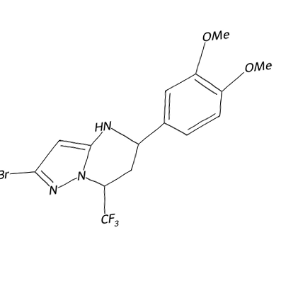 COc1ccc(C2CC(C(F)(F)F)n3nc(Br)cc3N2)cc1OC